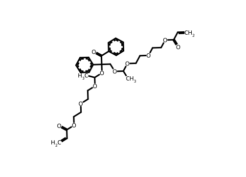 C=CC(=O)OCCOCCOC(C)OCC(OC(C)OCCOCCOC(=O)C=C)(C(=O)c1ccccc1)c1ccccc1